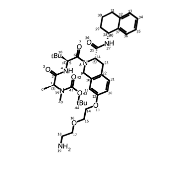 C[C@@H](C(=O)N[C@H](C(=O)N1Cc2cc(OCCOCCN)ccc2C[C@H]1C(=O)N[C@@H]1CCCc2ccccc21)C(C)(C)C)N(C)C(=O)OC(C)(C)C